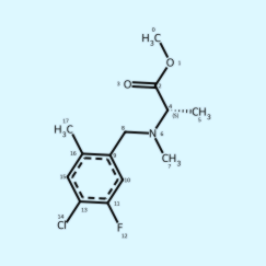 COC(=O)[C@H](C)N(C)Cc1cc(F)c(Cl)cc1C